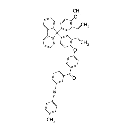 C=Cc1cc(C2(c3ccc(Oc4ccc(C(=O)c5cccc(C#Cc6ccc(C)cc6)c5)cc4)c(C=C)c3)c3ccccc3-c3ccccc32)ccc1OC